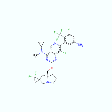 CN(c1nc(OC[C@@]23CCCN2C[C@@]2(CC2(F)F)C3)nc2c(F)c(-c3cc(N)cc(Cl)c3C(F)(F)F)ncc12)C1CC1